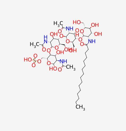 CCCCCCCCCCCCCCCC(=O)N[C@@H]1C(O[C@H]2C(O)[C@@H](NC(C)=O)[C@H](O[C@H]3[C@H](O)[C@@H](NC(C)=O)[C@H](O[C@H]4C(O)[C@@H](NC(C)=O)C(O)O[C@@H]4COS(=O)(=O)O)O[C@@H]3CO)O[C@@H]2CO)O[C@H](CO)[C@@H](O)[C@@H]1O